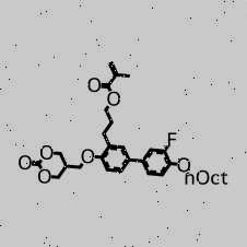 C=C(C)C(=O)OCCCc1cc(-c2ccc(OCCCCCCCC)c(F)c2)ccc1OCC1COC(=O)OC1